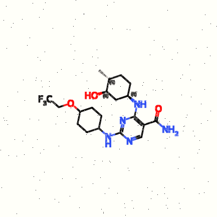 C[C@@H]1CC[C@@H](Nc2nc(NC3CCC(OCC(F)(F)F)CC3)ncc2C(N)=O)C[C@H]1O